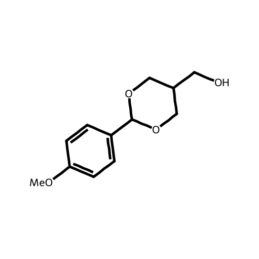 COc1ccc(C2OCC(CO)CO2)cc1